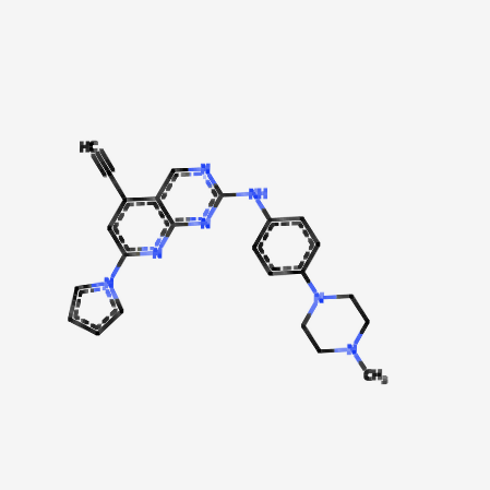 C#Cc1cc(-n2cccc2)nc2nc(Nc3ccc(N4CCN(C)CC4)cc3)ncc12